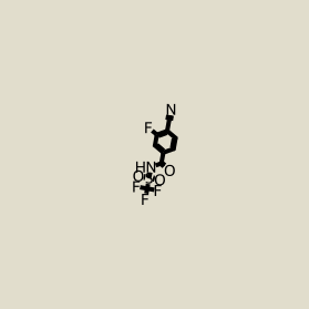 N#Cc1ccc(C(=O)NS(=O)(=O)C(F)(F)F)cc1F